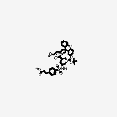 COCCCCC1(CNC(=O)C2CC(NS(=O)(=O)c3ccc(CCC(=O)O)cc3)CN(C(=O)OC(C)(C)C)C2)c2ccccc2Oc2ccccc21